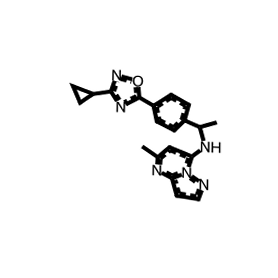 Cc1cc(NC(C)c2ccc(-c3nc(C4CC4)no3)cc2)n2nccc2n1